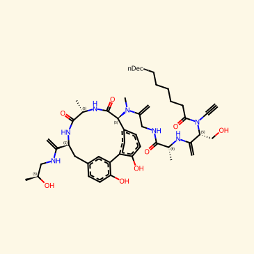 C#CN(C(=O)CCCCCCCCCCCCCCC)[C@H](CO)C(=C)N[C@H](C)C(=O)NCC(=C)N(C)[C@@H]1C(=O)N[C@@H](C)C(=O)N[C@H](C(=C)NC[C@H](C)O)Cc2ccc(O)c(c2)-c2cc1ccc2O